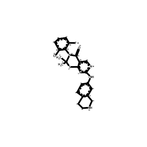 CC1(C)Sc2nc(Nc3ccc4c(c3)CNCC4)ncc2C(=O)N1c1c(F)cccc1Cl